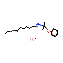 Br.CCCCCCCCCCCNC(C)(C)COc1ccccc1